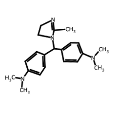 CC1=NCCN1C(c1ccc(N(C)C)cc1)c1ccc(N(C)C)cc1